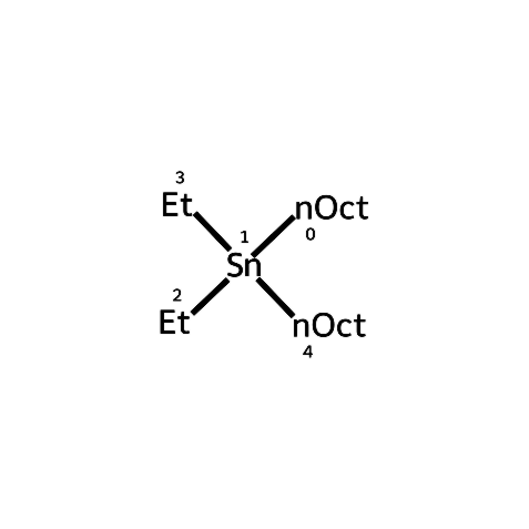 CCCCCCC[CH2][Sn]([CH2]C)([CH2]C)[CH2]CCCCCCC